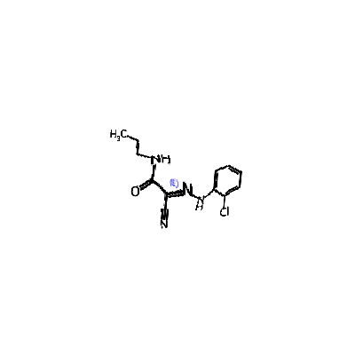 CCCNC(=O)/C(C#N)=N/Nc1ccccc1Cl